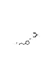 CC(C)(C)OC(=O)CCC1CC[C@H](C(=O)Nc2cc(B(O)O)ccn2)C1